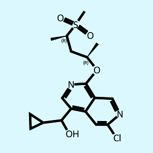 C[C@H](C[C@@H](C)S(C)(=O)=O)Oc1ncc(C(O)C2CC2)c2cc(Cl)ncc12